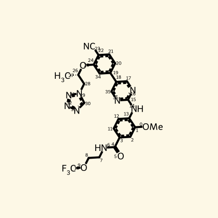 COc1cc(C(=O)NCCOC(F)(F)F)ccc1Nc1ncc(-c2ccc(C#N)c(O[C@@H](C)Cn3cnnn3)c2)cn1